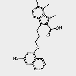 Cc1c(F)ccc2c(CCCOc3cc(S)cc4ccccc34)c(C(=O)O)n(C)c12